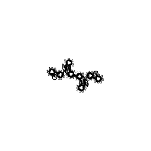 c1ccc2c(c1)nc1n(-c3ccc4oc5ccccc5c4c3)c3ccc(-c4ccc5c(c4)n4c6ccccc6nc4n5-c4ccc5oc6ccccc6c5c4)cc3n21